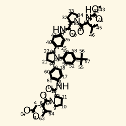 COC(=O)C[C@H](C(=O)N1CCC[C@H]1C(=O)Nc1ccc([C@@H]2CC[C@@H](c3ccc(NC(=O)C4CCCN4C(=O)[C@@H](NC(=O)OC)C(C)C)cc3)N2c2ccc(C(C)(C)C)cc2)cc1)C(C)C